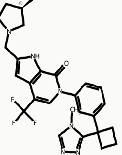 Cn1cnnc1C1(c2cccc(-n3cc(C(F)(F)F)c4cc(CN5CC[C@@H](F)C5)[nH]c4c3=O)c2)CCC1